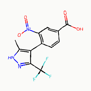 Cc1[nH]nc(C(F)(F)F)c1-c1ccc(C(=O)O)cc1[N+](=O)[O-]